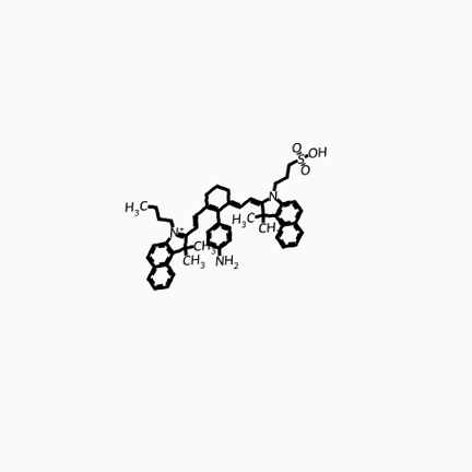 CCCC[N+]1=C(/C=C/C2=C(c3ccc(N)cc3)C(=C/C=C3/N(CCCS(=O)(=O)O)c4ccc5ccccc5c4C3(C)C)/CCC2)C(C)(C)c2c1ccc1ccccc21